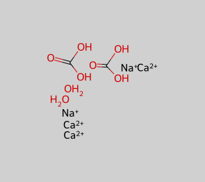 O.O.O=C(O)O.O=C(O)O.[Ca+2].[Ca+2].[Ca+2].[Na+].[Na+]